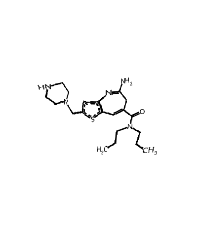 CCCN(CCC)C(=O)C1=Cc2sc(CN3CCNCC3)cc2N=C(N)C1